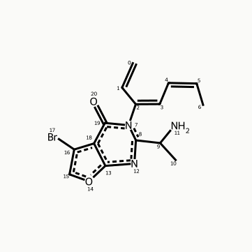 C=C/C(=C\C=C/C)n1c(C(C)N)nc2occ(Br)c2c1=O